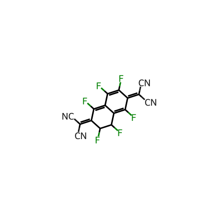 N#CC(C#N)=C1C(F)=c2c(F)c(F)c(=C(C#N)C#N)c(F)c2C(F)C1F